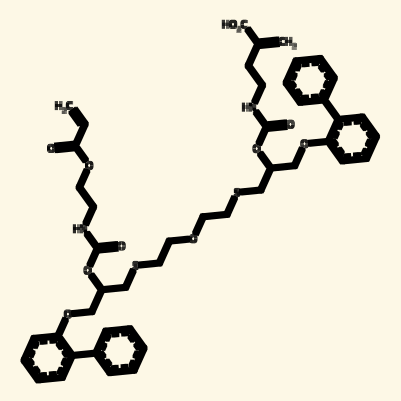 C=CC(=O)OCCNC(=O)OC(COc1ccccc1-c1ccccc1)CSCCOCCSCC(COc1ccccc1-c1ccccc1)OC(=O)NCCC(=C)C(=O)O